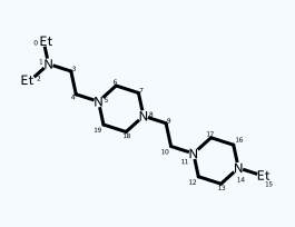 CCN(CC)CCN1CCN(CCN2CCN(CC)CC2)CC1